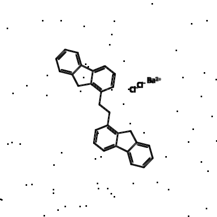 [Ba+2].[Cl-].[Cl-].c1ccc2c(c1)Cc1c(CCc3cccc4c3Cc3ccccc3-4)cccc1-2